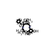 C[C@@H]1/C=C\C(OC(=O)c2ccccc2)C2OC(C)(C)O[C@H]2C/C=C/c2cc(O)cc(O)c2C(=O)O[C@H]1C